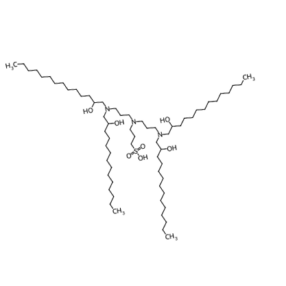 CCCCCCCCCCCCC(O)CN(CCCN(CCCN(CC(O)CCCCCCCCCCCC)CC(O)CCCCCCCCCCCC)CCCS(=O)(=O)O)CC(O)CCCCCCCCCCCC